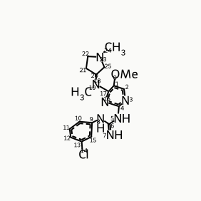 COc1cnc(NC(=N)Nc2cccc(Cl)c2)nc1N(C)C1CCN(C)C1